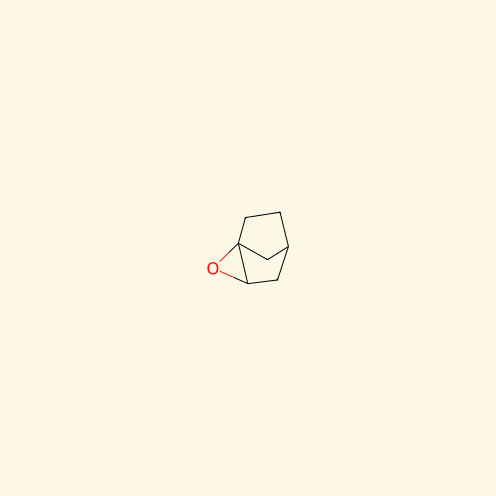 C1CC23CC1CC2O3